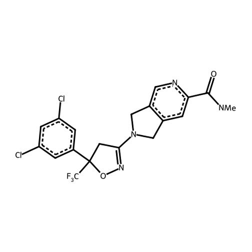 CNC(=O)c1cc2c(cn1)CN(C1=NOC(c3cc(Cl)cc(Cl)c3)(C(F)(F)F)C1)C2